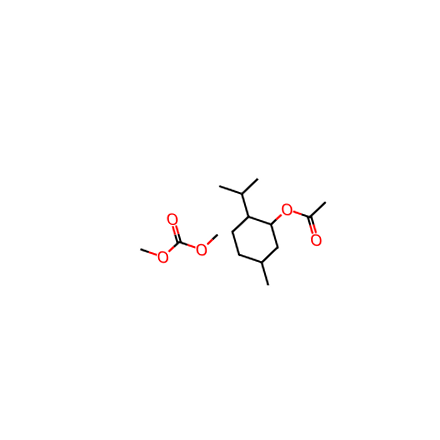 CC(=O)OC1CC(C)CCC1C(C)C.COC(=O)OC